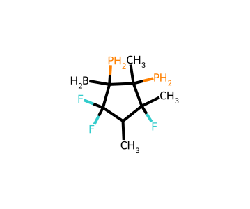 BC1(P)C(F)(F)C(C)C(C)(F)C1(C)P